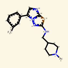 CC(=O)N1CCC(CNc2nn3c(-c4cccc(C(F)(F)F)c4)cnc3s2)CC1